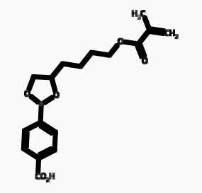 C=C(C)C(=O)OCCCCC1COB(c2ccc(C(=O)O)cc2)O1